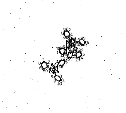 c1ccc(-c2nc(-c3ccccc3)nc(-c3ccc(-c4cc5c6ccccc6oc5c5c4c4ccccc4n5-c4nc(-c5ccccc5)nc(-c5ccccc5)n4)cc3)n2)cc1